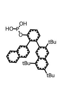 CC(C)(C)c1cc(C(C)(C)C)c2cc(-c3cccc(OP(O)O)c3-c3ccc4ccccc4c3)c(C(C)(C)C)cc2c1